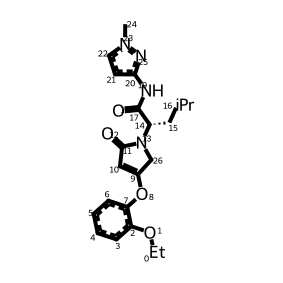 CCOc1ccccc1OC1=CC(=O)N([C@@H](CC(C)C)C(=O)Nc2ccn(C)n2)C1